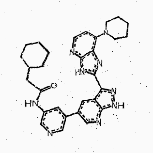 O=C(CC1CCCCC1)Nc1cncc(-c2cnc3[nH]nc(-c4nc5c(N6CCCCC6)ccnc5[nH]4)c3c2)c1